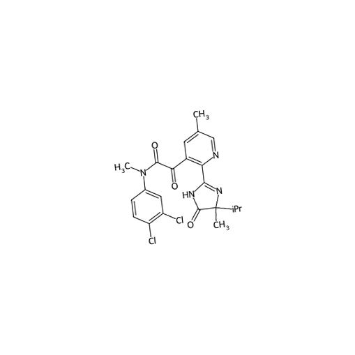 Cc1cnc(C2=NC(C)(C(C)C)C(=O)N2)c(C(=O)C(=O)N(C)c2ccc(Cl)c(Cl)c2)c1